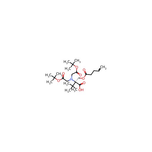 C=CCCC(=O)OC[C@@](C(=O)O)(N(CC(=O)OC(C)(C)C)CC(=O)OC(C)(C)C)C(C)(C)C